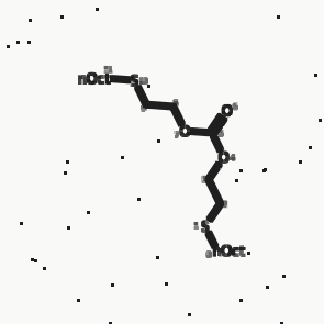 CCCCCCCCSCCOC(=O)OCCSCCCCCCCC